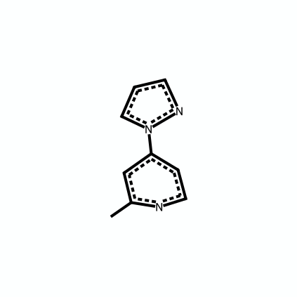 Cc1cc(-n2cccn2)ccn1